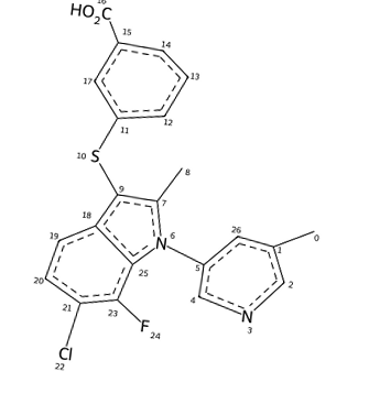 Cc1cncc(-n2c(C)c(Sc3cccc(C(=O)O)c3)c3ccc(Cl)c(F)c32)c1